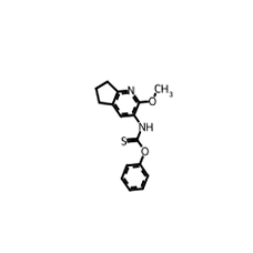 COc1nc2c(cc1NC(=S)Oc1ccccc1)CCC2